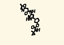 Cc1cnc(CC(=O)Nc2cc([C@H]3CC[C@@H](OC(=O)NC4(C)CC4)C3)[nH]n2)o1